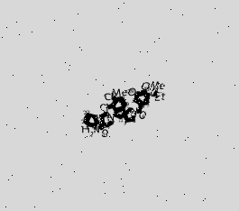 CCOc1cc(C(=O)N2CCC(CCN3CCC(C(N)=O)(c4ccccc4)CC3)(c3ccc(Cl)c(Cl)c3)C2)cc(OC)c1OC